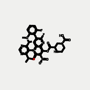 COc1cccc(F)c1-c1cc2c(nc1F)c(OC(=O)C1CN(C(=O)O)CCN1)c([N+](=O)[O-])c(=O)n2-c1c(C(C)C)ncnc1C(C)C